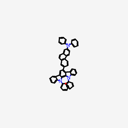 c1ccc(N(c2ccccc2)c2ccc3c(ccc4cc(-c5cc6c7ccccc7n(-c7ccccc7)c6c6c5c5ccccc5n6-c5ccccc5)ccc43)c2)cc1